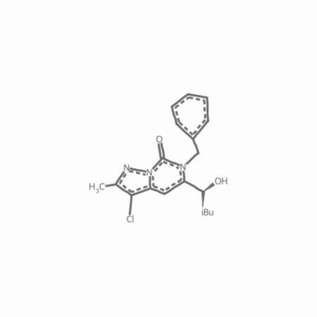 CC[C@H](C)[C@H](O)c1cc2c(Cl)c(C)nn2c(=O)n1Cc1ccccc1